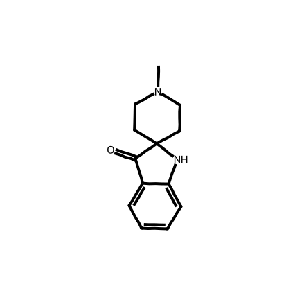 CN1CCC2(CC1)Nc1ccccc1C2=O